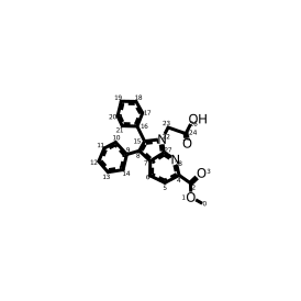 COC(=O)c1ccc2c(-c3ccccc3)c(-c3ccccc3)n(CC(=O)O)c2n1